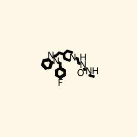 CCNC(=O)NCCN1CCC(Cc2nc3ccccc3n2Cc2ccc(F)cc2)CC1